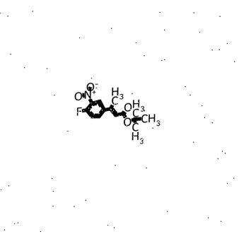 C/C(=C\C(=O)OC(C)(C)C)c1ccc(F)c([N+](=O)[O-])c1